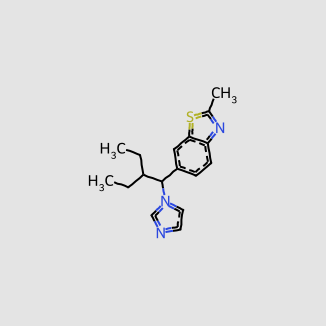 CCC(CC)C(c1ccc2nc(C)sc2c1)n1ccnc1